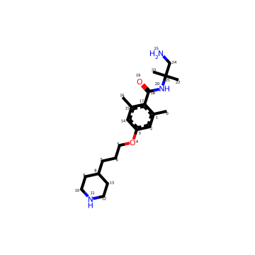 Cc1cc(OCCCC2CCNCC2)cc(C)c1C(=O)NC(C)(C)CN